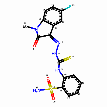 CCN1C(=O)C(=NNC(=S)Nc2ccccc2S(N)(=O)=O)c2cc(F)ccc21